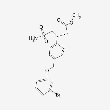 COC(=O)CC(CS(N)(=O)=O)c1ccc(COc2cccc(Br)c2)cc1